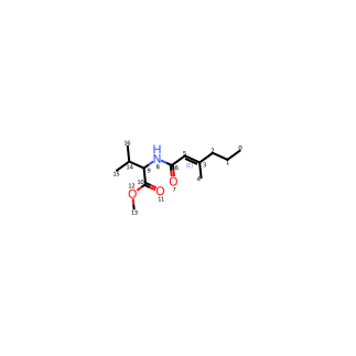 CCC/C(C)=C/C(=O)NC(C(=O)OC)C(C)C